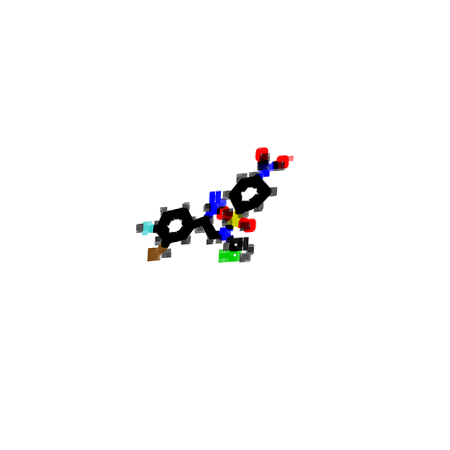 CN(C[C@H](N)c1ccc(F)c(Br)c1)S(=O)(=O)c1ccc([N+](=O)[O-])cc1.Cl